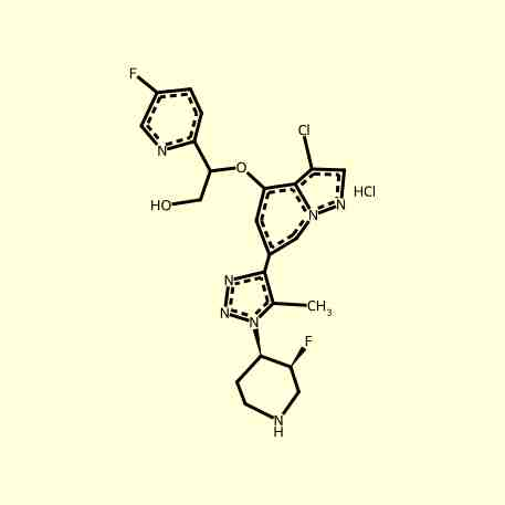 Cc1c(-c2cc(OC(CO)c3ccc(F)cn3)c3c(Cl)cnn3c2)nnn1[C@@H]1CCNC[C@@H]1F.Cl